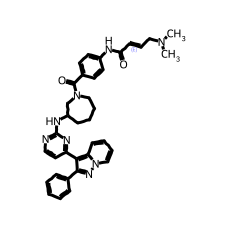 CN(C)C/C=C/C(=O)Nc1ccc(C(=O)N2CCCCC(Nc3nccc(-c4c(-c5ccccc5)nn5ccccc45)n3)C2)cc1